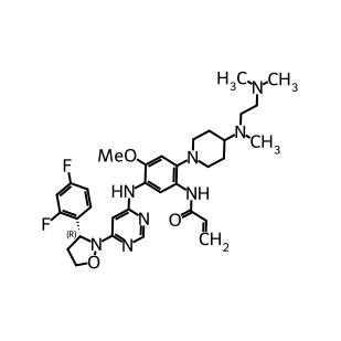 C=CC(=O)Nc1cc(Nc2cc(N3OCC[C@@H]3c3ccc(F)cc3F)ncn2)c(OC)cc1N1CCC(N(C)CCN(C)C)CC1